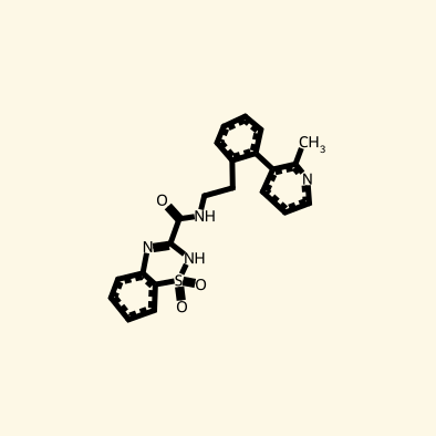 Cc1ncccc1-c1ccccc1CCNC(=O)C1=Nc2ccccc2S(=O)(=O)N1